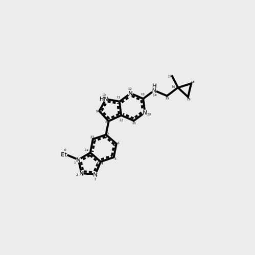 CCn1nnc2ccc(-c3c[nH]c4nc(NCC5(C)CC5)ncc34)cc21